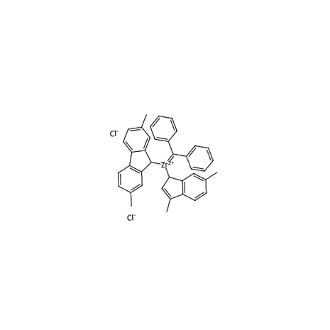 CC1=C[CH]([Zr+2](=[C](c2ccccc2)c2ccccc2)[CH]2c3cc(C)ccc3-c3ccc(C)cc32)c2cc(C)ccc21.[Cl-].[Cl-]